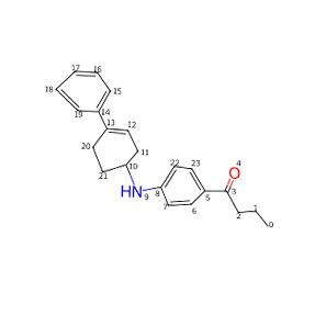 CCCC(=O)c1ccc(NC2CC=C(c3ccccc3)CC2)cc1